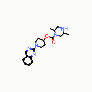 CC1CN(C(=O)OC2CCN(c3ncc4ccccc4n3)CC2)C(C)CN1